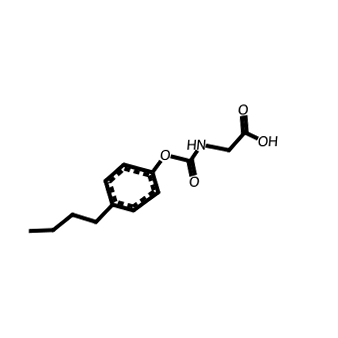 CCCCc1ccc(OC(=O)NCC(=O)O)cc1